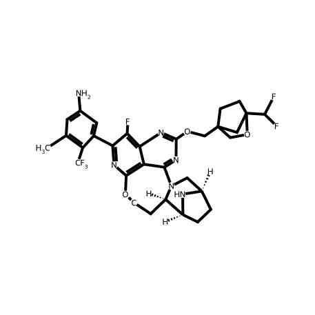 Cc1cc(N)cc(-c2nc3c4c(nc(OCC56CCC(C(F)F)(C5)OC6)nc4c2F)N2C[C@H]4CC[C@H](N4)[C@H]2CCO3)c1C(F)(F)F